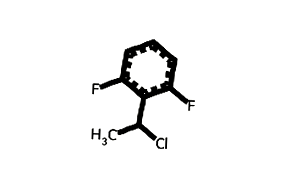 CC(Cl)c1c(F)cccc1F